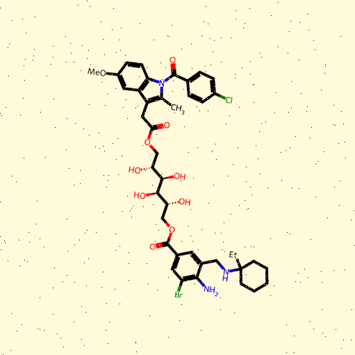 CCC1(NCc2cc(C(=O)OC[C@@H](O)[C@@H](O)[C@H](O)[C@H](O)COC(=O)Cc3c(C)n(C(=O)c4ccc(Cl)cc4)c4ccc(OC)cc34)cc(Br)c2N)CCCCC1